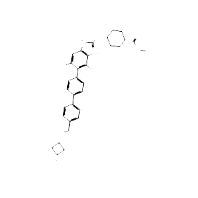 COC(=O)[C@H]1CC[C@H](Oc2nc3c(F)c(-c4ccc(-c5ccc(CO[C@H]6C[C@@H](O)C6)cc5)cc4)c(F)cc3[nH]2)CC1